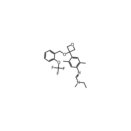 CCN(C)C=Nc1cc(C)c(C2(OCc3ccccc3OC(F)(F)F)COC2)cc1C